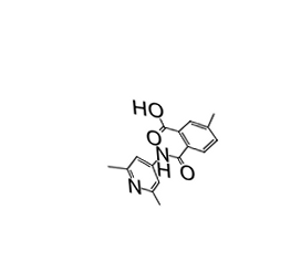 Cc1ccc(C(=O)Nc2cc(C)nc(C)c2)c(C(=O)O)c1